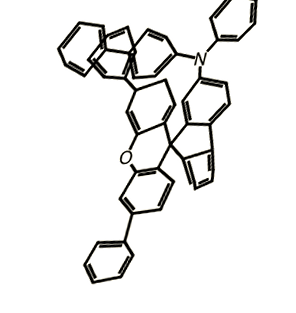 C1=C2Oc3cc(-c4ccccc4)ccc3C3(C2=CCC1c1ccccc1)c1ccccc1-c1ccc(N(c2ccccc2)c2ccc(-c4ccccc4)cc2)cc13